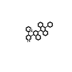 c1ccc(-c2c3ccccc3c(-c3ccc(-c4cnccc4-c4ccccn4)c4ccccc34)c3ccccc23)cc1